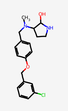 CN(Cc1ccc(OCc2cccc(Cl)c2)cc1)C1CCNC1O